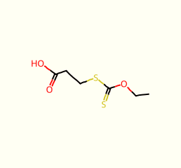 CCOC(=S)SCCC(=O)O